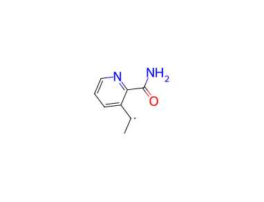 C[CH]c1cccnc1C(N)=O